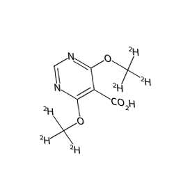 [2H]C([2H])([2H])Oc1ncnc(OC([2H])([2H])[2H])c1C(=O)O